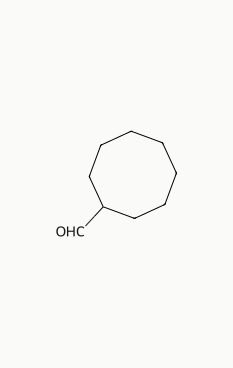 O=CC1CCCCCCC1